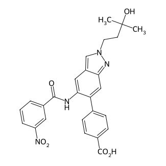 CC(C)(O)CCn1cc2cc(NC(=O)c3cccc([N+](=O)[O-])c3)c(-c3ccc(C(=O)O)cc3)cc2n1